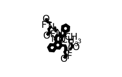 CC1(C)c2ccccc2N(CCN(CC(=O)F)CC(=O)F)C12C=Nc1c(c(CN(CC(=O)F)CC(=O)F)cc3ccccc13)O2